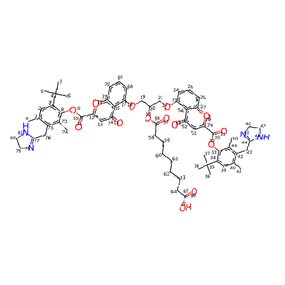 Cc1cc(C(C)(C)C)c(OC(=O)c2cc(=O)c3c(OCC(COc4cccc5oc(C(=O)Oc6c(C(C)(C)C)cc(C)c(CC7=NCCN7)c6C)cc(=O)c45)OC(=O)CCCCCCCC(=O)O)cccc3o2)c(C)c1CC1=NCCN1